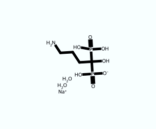 NCCCC(O)(P(=O)([O-])O)P(=O)(O)O.O.O.[Na+]